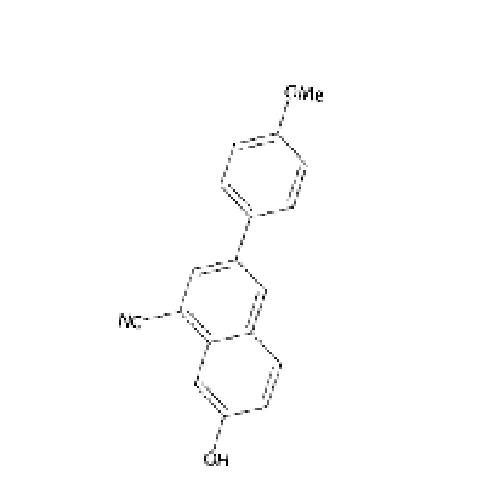 COc1ccc(-c2cc(C#N)c3cc(O)ccc3c2)cc1